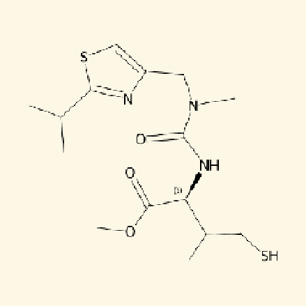 COC(=O)[C@@H](NC(=O)N(C)Cc1csc(C(C)C)n1)C(C)CS